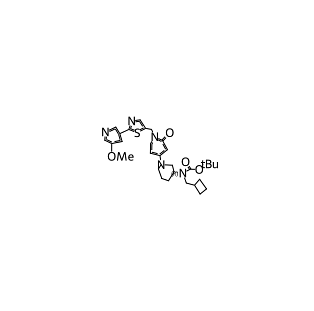 COc1cncc(-c2ncc(Cn3ccc(N4CCC[C@@H](N(CC5CCC5)C(=O)OC(C)(C)C)C4)cc3=O)s2)c1